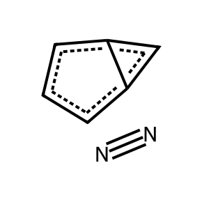 N#N.c1cc2cc-2c1